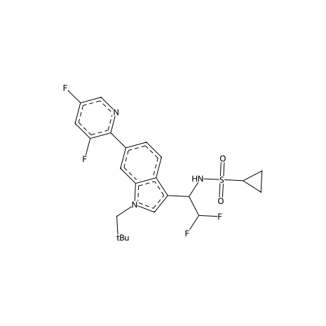 CC(C)(C)Cn1cc(C(NS(=O)(=O)C2CC2)C(F)F)c2ccc(-c3ncc(F)cc3F)cc21